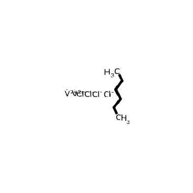 CCCCCC.[Cl-].[Cl-].[Cl-].[Cl-].[V+2].[V+2]